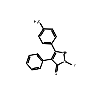 Cc1ccc(-c2[nH]n(C(C)C)c(=O)c2-c2ccccc2)cc1